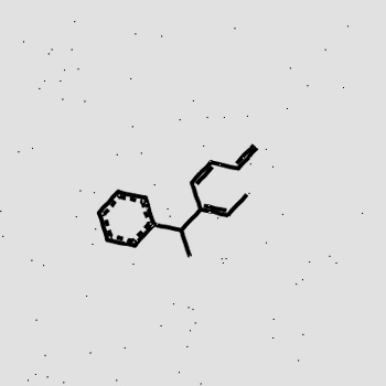 C=C/C=C\C(=C/C)C(C)c1ccccc1